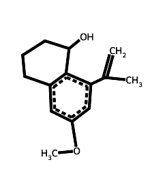 C=C(C)c1cc(OC)cc2c1C(O)CCC2